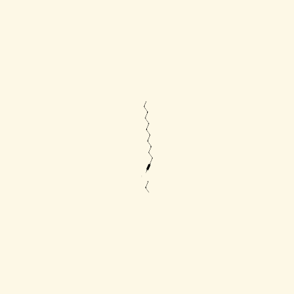 CC[CH]OC#CCCCCCCCCCCC